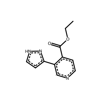 CCOC(=O)c1ccn[c]c1-c1cc[nH]n1